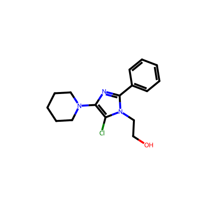 OCCn1c(-c2ccccc2)nc(N2CCCCC2)c1Cl